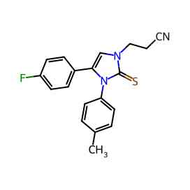 Cc1ccc(-n2c(-c3ccc(F)cc3)cn(CCC#N)c2=S)cc1